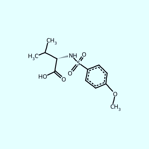 COc1ccc(S(=O)(=O)N[C@H](C(=O)O)C(C)C)cc1